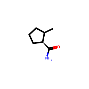 CC1CCC[C@@H]1C(N)=O